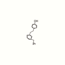 CC(C)Cc1cccc(CCc2ccc(O)cc2)c1